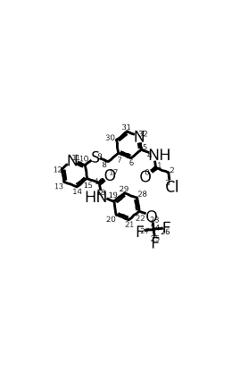 O=C(CCl)Nc1cc(CSc2ncccc2C(=O)Nc2ccc(OC(F)(F)F)cc2)ccn1